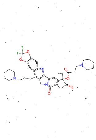 CCC1(OC(=O)CCN2CCCCC2)C(=O)Cc2c1cc1n(c2=O)Cc2c-1nc1cc3c(cc1c2CCCN1CCCCC1)OC(F)(F)O3